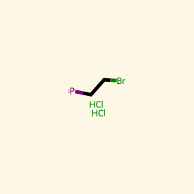 Cl.Cl.[P]CCBr